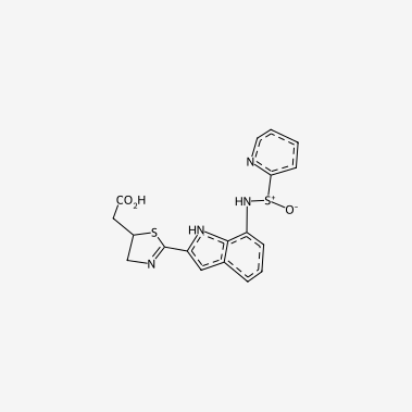 O=C(O)CC1CN=C(c2cc3cccc(N[S+]([O-])c4ccccn4)c3[nH]2)S1